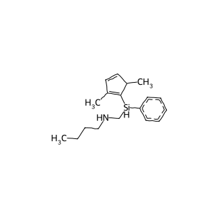 CCCCNC[SiH](C1=C(C)C=CC1C)c1ccccc1